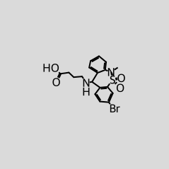 CN1c2ccccc2C(NCCCC(=O)O)c2ccc(Br)cc2S1(=O)=O